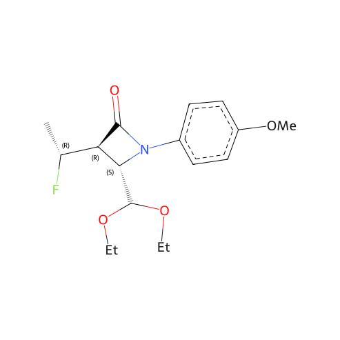 CCOC(OCC)[C@@H]1[C@@H]([C@@H](C)F)C(=O)N1c1ccc(OC)cc1